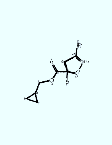 CCC1(C(=O)OCC2CC2)CC(C(C)C)=NO1